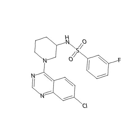 O=S(=O)(NC1CCCN(c2ncnc3cc(Cl)ccc23)C1)c1cccc(F)c1